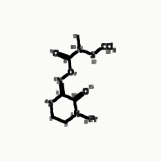 CC(C)N1CCSC(=NOC(=O)N(C)SC(Cl)(Cl)Cl)C1=O